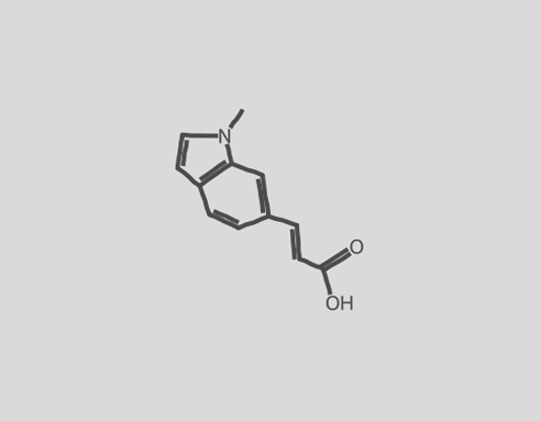 Cn1ccc2ccc(/C=C/C(=O)O)cc21